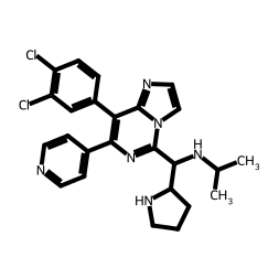 CC(C)NC(c1nc(-c2ccncc2)c(-c2ccc(Cl)c(Cl)c2)c2nccn12)C1CCCN1